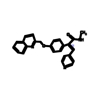 CNC(=O)/C(=C/c1ccncc1)c1ccc(OCc2ccc3ccccc3n2)cc1